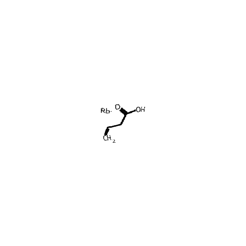 C=CCC(=O)O.[Rb]